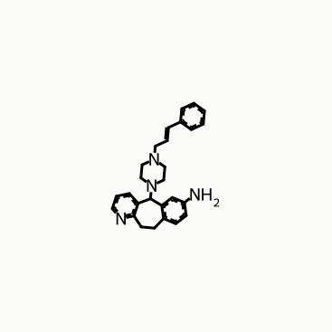 Nc1ccc2c(c1)C(N1CCN(CC=Cc3ccccc3)CC1)c1cccnc1CC2